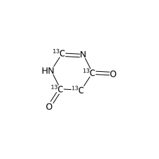 O=[13C]1[13CH2][13C](=O)N[13CH]=N1